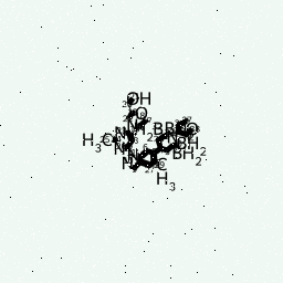 BC1(B)CC(c2cc3c(cnn3-c3cc(N4CCO[C@@H](CO)C4)nc(C)n3)cc2C)CC(B)(B)N1[C@H]1CCOC1